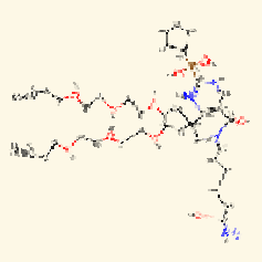 COCCOCCOCCOCCC1(CCOCCOCCOCCOC)CN(CCCCCC(N)=O)C(=O)c2cnc(S(=O)(=O)C3CCCC3)nc21